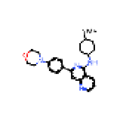 CNC1CCC(Nc2nc(-c3ccc(N4CCOCC4)cc3)cc3ncccc23)CC1